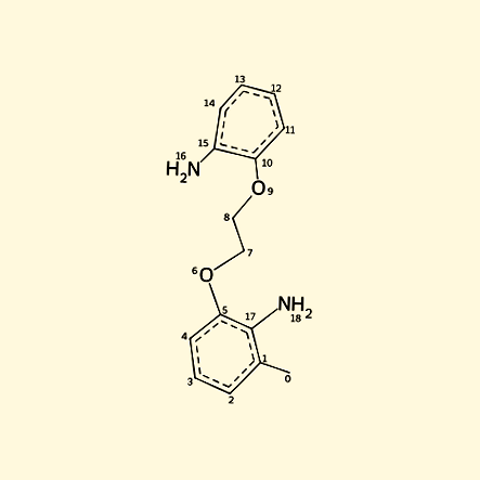 Cc1cccc(OCCOc2ccccc2N)c1N